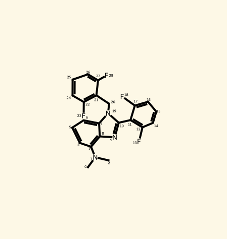 CN(C)c1cccc2c1nc(-c1c(F)cccc1F)n2Cc1c(F)cccc1F